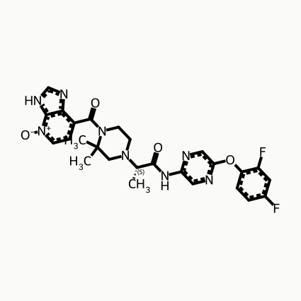 C[C@@H](C(=O)Nc1cnc(Oc2ccc(F)cc2F)cn1)N1CCN(C(=O)c2cc[n+]([O-])c3[nH]cnc23)C(C)(C)C1